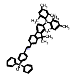 Cc1cc(C)c(B(c2ccc3c(c2)C(C)(C)c2cc(/C=C/c4ccc(P(=O)(c5ccccc5)c5ccccc5)cc4)ccc2-3)c2c(C)cc(C)cc2C)c(C)c1